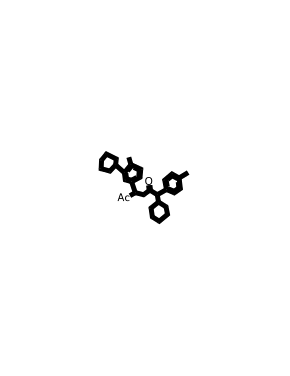 CC(=O)C(CC(=O)C(c1ccc(C)cc1)C1CCCCC1)c1ccc(C)c(C2CCCCC2)c1